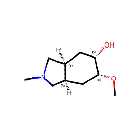 CO[C@@H]1C[C@H]2CN(C)C[C@H]2C[C@@H]1O